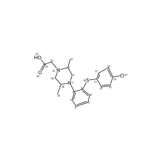 CC1CN(c2ccccc2Sc2ccc(Cl)cc2)C(C)CN1CC(=O)O